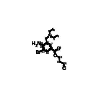 CCN(CC)Cc1cc(C(=O)OCCCCl)cc(Br)c1N